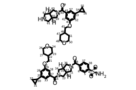 NS(=O)(=O)c1ccc(C(=O)N2C[C@H]3CN(C(=O)c4cc(OCC5CCOCC5)cc(C5CC5)c4)C[C@@H]3C2)cc1.O=C(c1cc(OCC2CCOCC2)cc(C2CC2)c1)N1C[C@@H]2CNC[C@H]2C1